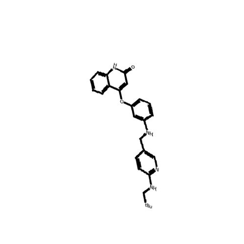 CC(C)(C)CNc1ccc(CNc2cccc(Oc3cc(=O)[nH]c4ccccc34)c2)cn1